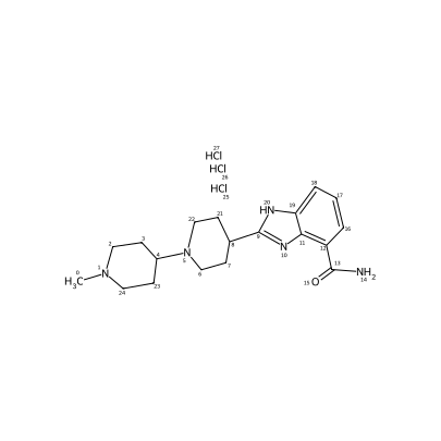 CN1CCC(N2CCC(c3nc4c(C(N)=O)cccc4[nH]3)CC2)CC1.Cl.Cl.Cl